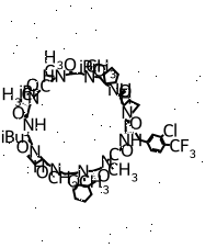 CC[C@H](C)[C@@H]1NC(=O)[C@H](CC(C)C)N(C)C(=O)C[C@@H](C)NC(=O)[C@H](C(C)C)N(C)C(=O)C2(CCCC2)NC(=O)[C@@H]2CCCN2C(=O)[C@H](CCc2ccc(C(F)(F)F)c(Cl)c2)NC(=O)CN(C)C(=O)[C@H](CC2CCCCC2)N(C)C(=O)CN(C)C(=O)[C@@H]2CCN2C1=O